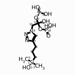 C[Si](C)(O)CCCc1cn(CC(O)(OP(O)O)O[PH](=O)O)nn1